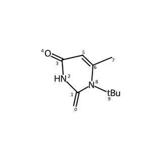 C=C1NC(=O)C=C(C)N1C(C)(C)C